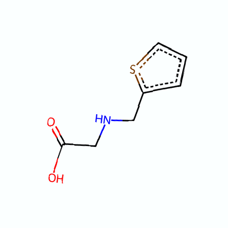 O=C(O)CNCc1cccs1